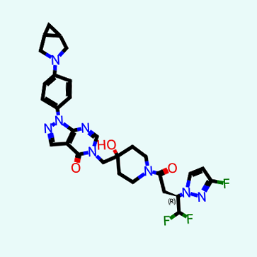 O=C(C[C@H](C(F)F)n1ccc(F)n1)N1CCC(O)(Cn2cnc3c(cnn3-c3ccc(N4CC5CC5C4)cc3)c2=O)CC1